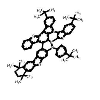 CC(C)(C)c1ccc(N2B3c4sc5ccc(C(C)(C)C)cc5c4-n4c5ccc(C(C)(C)C)cc5c5c6oc7ccccc7c6c(c3c54)-c3cc4c(cc32)oc2cc3c(cc24)C(C)(C)CCC3(C)C)cc1